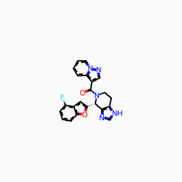 O=C(c1cnn2ccccc12)N1CCc2[nH]cnc2[C@@H]1c1cc2c(F)cccc2o1